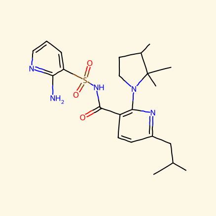 CC(C)Cc1ccc(C(=O)NS(=O)(=O)c2cccnc2N)c(N2CCC(C)C2(C)C)n1